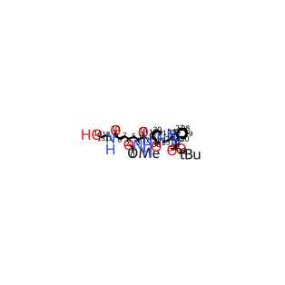 COC(=O)NC(CC/C=C/C(=O)NCCO)C(=O)Nc1cccn(Cc2nc3ccccc3n2C(=O)OC(C)(C)C)c1=O